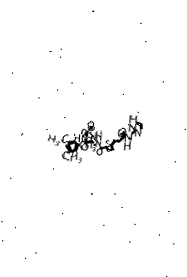 Cc1cc(C)cc(C)c1.O=C(CCc1ccc(C(=O)NC[C@H](N=S(=O)=O)C(=O)O)s1)NC1=NCCCN1